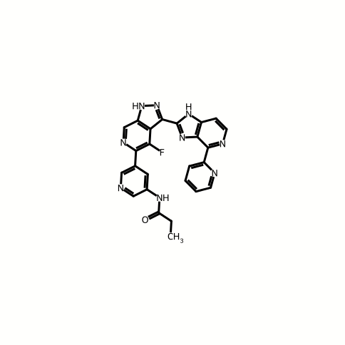 CCC(=O)Nc1cncc(-c2ncc3[nH]nc(-c4nc5c(-c6ccccn6)nccc5[nH]4)c3c2F)c1